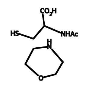 C1COCCN1.CC(=O)NC(CS)C(=O)O